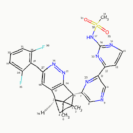 CC1(C)[C@H]2CC[C@]1(c1cncc(-c3ccnc(NS(C)(=O)=O)n3)n1)c1nnc(-c3c(F)cccc3F)cc12